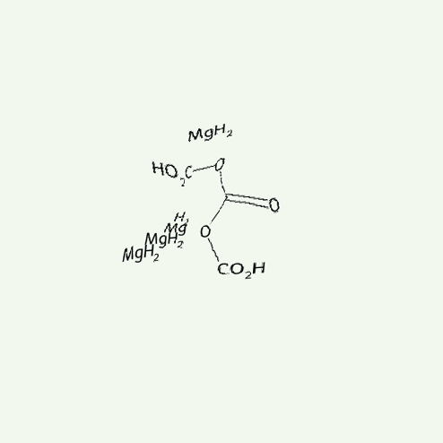 O=C(O)OC(=O)OC(=O)O.[MgH2].[MgH2].[MgH2].[MgH2]